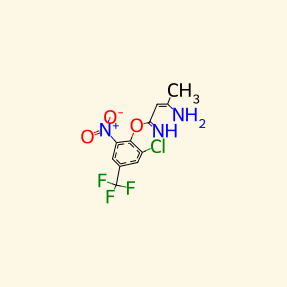 C/C(N)=C/C(=N)Oc1c(Cl)cc(C(F)(F)F)cc1[N+](=O)[O-]